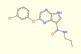 CCCNC(=O)c1c[nH]c2ncc(Oc3cccc(Cl)c3)nc12